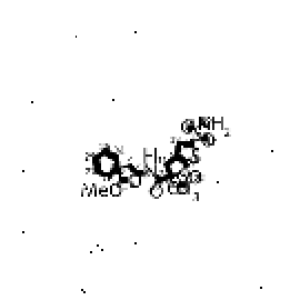 COC(=O)[C@@]1(CCNC(=O)[C@@]2(C)Cc3cc(S(N)(=O)=O)sc3S2(=O)=O)C=CC=CC1